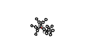 FC(F)(F)c1cc(-c2nc(-n3c4ccc(-c5ccccc5)cc4c4cc(-c5ccccc5)ccc43)nc(-n3c4ccc(-c5ccccc5)cc4c4cc(-c5ccccc5)ccc43)n2)ccc1-n1c2ccccc2c2c3c(c4ccccc4n3-c3ccccc3)c3c(c4ccccc4n3-c3ccccc3)c21